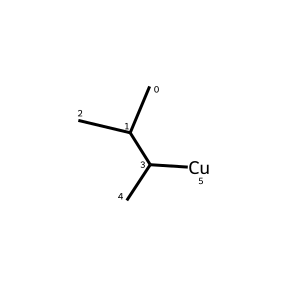 CC(C)[CH](C)[Cu]